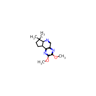 COc1nc2c(nc1OC)C1CCC(C)(C)C1N=C2